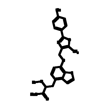 CCOC(Cc1ccc(OCc2nc(-c3ccc(C(C)(C)C)cc3)oc2C)c2sccc12)C(=O)OC